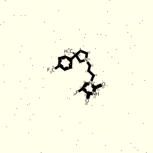 C[C@@]1(c2ccc(C(F)(F)F)cc2)CCN(CCCn2cc(F)c(=O)[nH]c2=O)C1